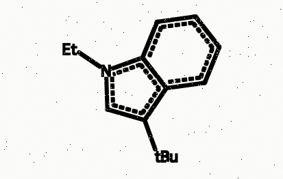 CCn1cc(C(C)(C)C)c2ccccc21